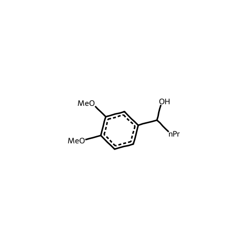 [CH2]CCC(O)c1ccc(OC)c(OC)c1